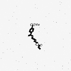 C=CC(=O)OCCCCCC(=C)c1ccc(C(=O)OC)cc1